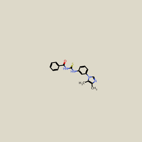 Cc1ncn(-c2cccc(NC(=S)NC(=O)c3ccccc3)c2)c1C